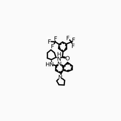 O=C(N[C@H]1CCCC[C@@H]1Nc1cc(N2CCCC2)c2ccccc2n1)c1cc(C(F)(F)F)cc(C(F)(F)F)c1